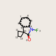 O=C1N(F)c2ccccc2C12CCC2